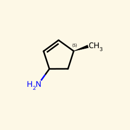 C[C@@H]1C=CC(N)C1